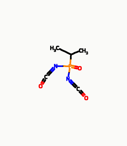 CC(C)P(=O)(N=C=O)N=C=O